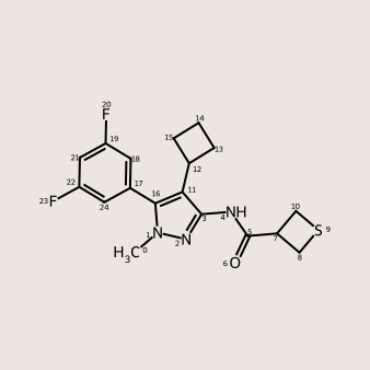 Cn1nc(NC(=O)C2CSC2)c(C2CCC2)c1-c1cc(F)cc(F)c1